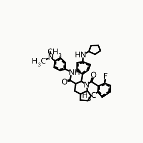 Cc1cccc(F)c1C(=O)N1C2CCCC2CC(C(=O)Nc2ccc(N(C)C)cc2)C1c1ccc(NC2CCCC2)cc1